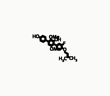 COc1cc(-c2ccc(O)cc2)c(OC)c(O)c1-c1ccc(OCC=C(C)C)c(F)c1